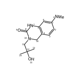 CNc1ccc2c(c1)NC(=O)N(CC(C)(C)O)C2